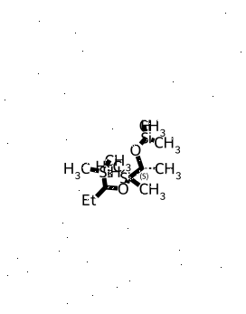 CCC(O[Si](C)(C)[C@@H](C)O[SiH](C)C)[SiH](C)C